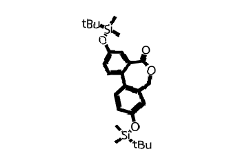 CC(C)(C)[Si](C)(C)Oc1ccc2c(c1)COC(=O)c1cc(O[Si](C)(C)C(C)(C)C)ccc1-2